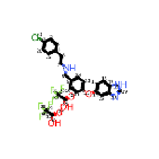 Clc1ccc(CCNCc2ccc(Oc3ccc4[nH]cnc4c3)cc2)cc1.O=C(O)C(F)(F)F.O=C(O)C(F)(F)F